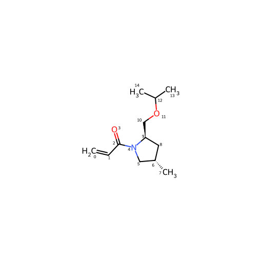 C=CC(=O)N1C[C@@H](C)C[C@@H]1COC(C)C